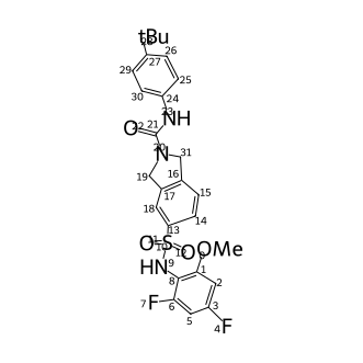 COc1cc(F)cc(F)c1NS(=O)(=O)c1ccc2c(c1)CN(C(=O)Nc1ccc(C(C)(C)C)cc1)C2